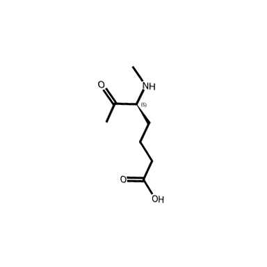 CN[C@@H](CCCC(=O)O)C(C)=O